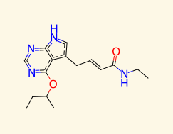 CCNC(=O)C=CCc1c[nH]c2ncnc(OC(C)CC)c12